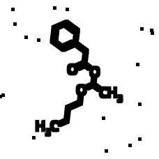 CCCCOC(C)OC(=O)Cc1ccccc1